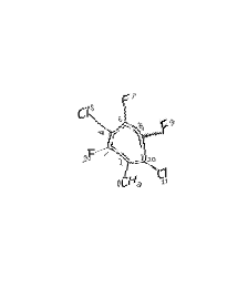 Cc1c(F)c(Cl)c(F)c(F)c1Cl